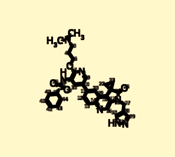 CN(C)CCCOc1ncc(-c2ccc3ncc4c(c3c2)C2(CC2)C(=O)N4Cc2cn[nH]c2)cc1NS(=O)(=O)c1ccccc1